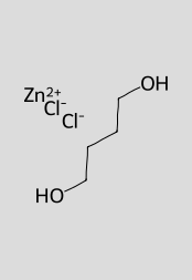 OCCCCO.[Cl-].[Cl-].[Zn+2]